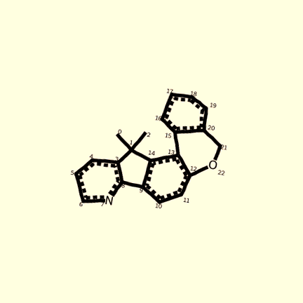 CC1(C)c2cccnc2-c2ccc3c(c21)-c1ccccc1CO3